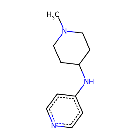 CN1CCC(Nc2ccncc2)CC1